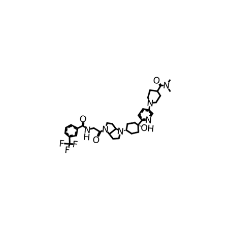 CN(C)C(=O)C1CCN(c2ccc([C@]3(O)CC[C@@H](N4CCC5C4CCN5C(=O)CNC(=O)c4cccc(C(F)(F)F)c4)CC3)nc2)CC1